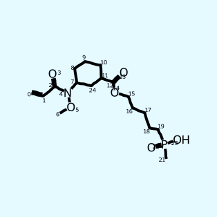 C=CC(=O)N(OC)C1CCCC(C(=O)OCCCCCP(C)(=O)O)C1